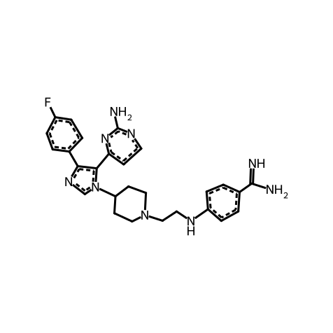 N=C(N)c1ccc(NCCN2CCC(n3cnc(-c4ccc(F)cc4)c3-c3ccnc(N)n3)CC2)cc1